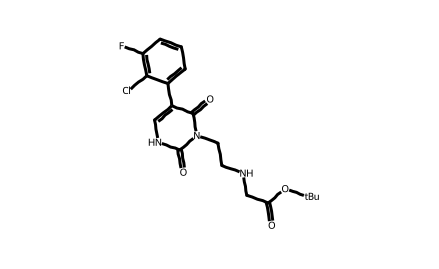 CC(C)(C)OC(=O)CNCCn1c(=O)[nH]cc(-c2cccc(F)c2Cl)c1=O